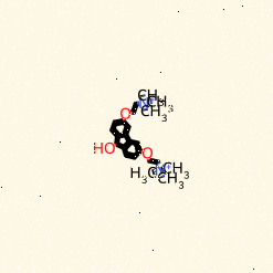 C[N+](C)(C)CCOc1ccc2c(c1)-c1cc(OCC[N+](C)(C)C)ccc1C2O